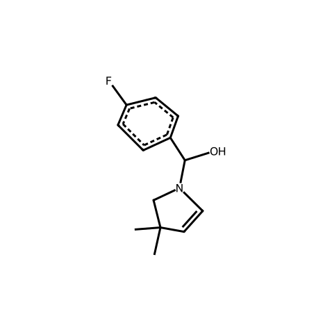 CC1(C)C=CN(C(O)c2ccc(F)cc2)C1